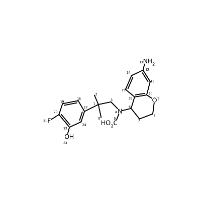 CC(C)(CN(C(=O)O)C1CCOc2cc(N)ccc21)c1ccc(F)c(O)c1